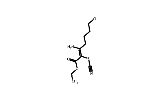 CCOC(=O)/C(SC#N)=C(\N)CCCCCl